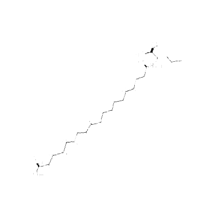 CCC[C@H](NC(=O)CCCCCCCCCCCCCCCCCC(=O)O)C(=O)O